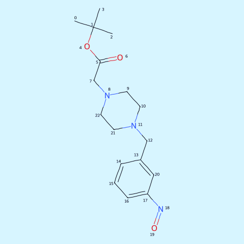 CC(C)(C)OC(=O)CN1CCN(Cc2cccc(N=O)c2)CC1